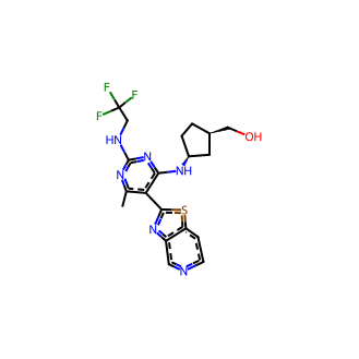 Cc1nc(NCC(F)(F)F)nc(N[C@H]2CC[C@@H](CO)C2)c1-c1nc2cnccc2s1